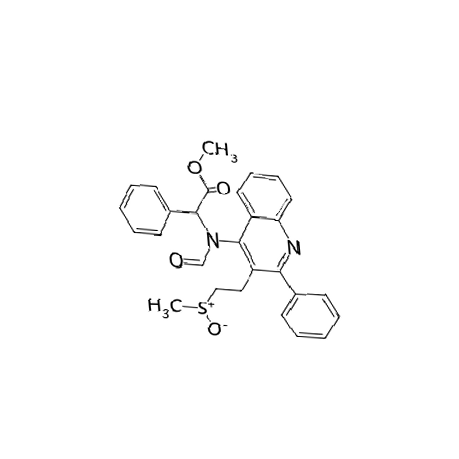 COC(=O)C(c1ccccc1)N(C=O)c1c(CC[S+](C)[O-])c(-c2ccccc2)nc2ccccc12